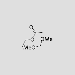 CCOC(C)=O.COCOC